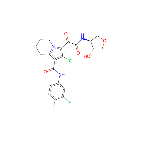 O=C(N[C@H]1COC[C@@H]1O)C(=O)c1c(Cl)c(C(=O)Nc2ccc(F)c(F)c2)c2n1CCCC2